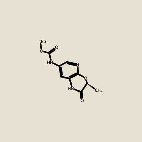 C[C@@H]1Oc2ncc(NC(=O)OC(C)(C)C)cc2NC1=O